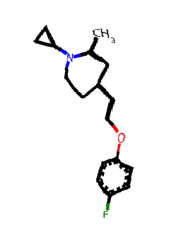 CC1CC(CCOc2ccc(F)cc2)CCN1C1CC1